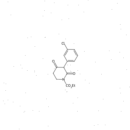 CCOC(=O)N1CCC(=O)C(c2cccc(Cl)c2)C1=O